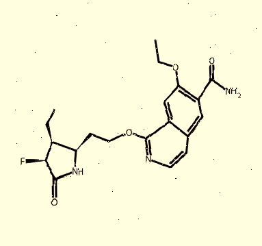 CCOc1cc2c(OCC[C@H]3NC(=O)[C@@H](F)[C@H]3CC)nccc2cc1C(N)=O